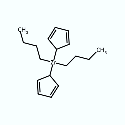 CCC[CH2][Zr]([CH2]CCC)([CH]1C=CC=C1)[CH]1C=CC=C1